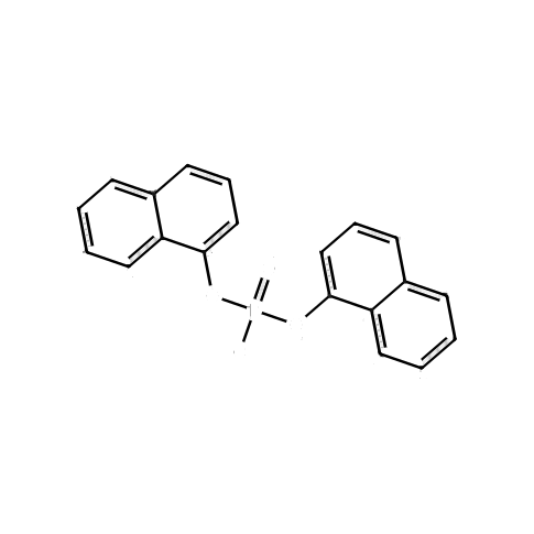 [O]P(=O)(Oc1cccc2ccccc12)Oc1cccc2ccccc12